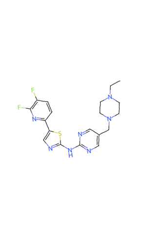 CCN1CCN(Cc2cnc(Nc3ncc(-c4ccc(F)c(F)n4)s3)nc2)CC1